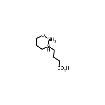 O=C(O)CCC[SiH]1CCCO[SiH2]1